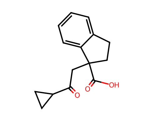 O=C(CC1(C(=O)O)CCc2ccccc21)C1CC1